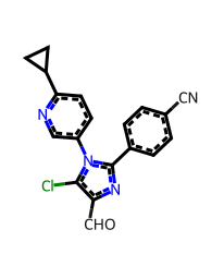 N#Cc1ccc(-c2nc(C=O)c(Cl)n2-c2ccc(C3CC3)nc2)cc1